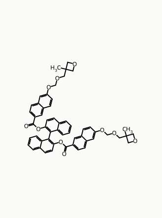 CC1(COCOc2ccc3cc(C(=O)Oc4ccc5ccccc5c4-c4c(OC(=O)c5ccc6cc(OCOCC7(C)COC7)ccc6c5)ccc5ccccc45)ccc3c2)COC1